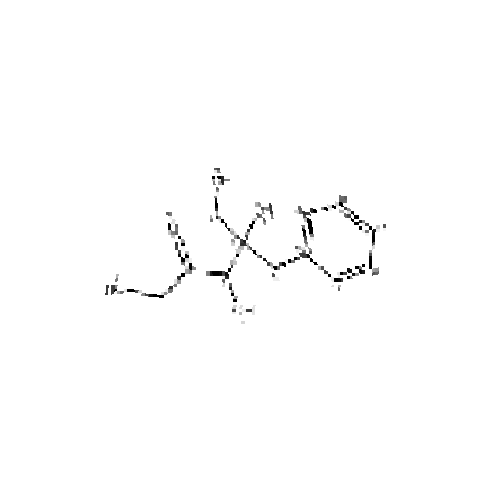 O=C(CO)C(O)C(O)(CO)Cc1ccccc1